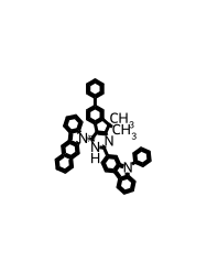 CC1(C)C2=C(c3ccc(-c4ccccc4)cc31)[C@@H](n1c3ccccc3c3cc4ccccc4cc31)NC(c1ccc3c4ccccc4n(-c4ccccc4)c3c1)=N2